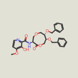 COc1ccnc(C(=O)N[C@H]2COC[C@H](OCc3ccccc3)[C@@H](OCc3ccccc3)COC2=O)c1O